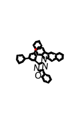 c1ccc(-c2cc(-c3ccccc3)cc(-c3nc4oc5ccccc5c4nc3-n3c4ccccc4c4cc5ccccc5cc43)c2)cc1